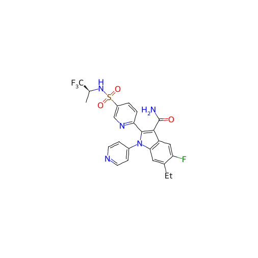 CCc1cc2c(cc1F)c(C(N)=O)c(-c1ccc(S(=O)(=O)N[C@@H](C)C(F)(F)F)cn1)n2-c1ccncc1